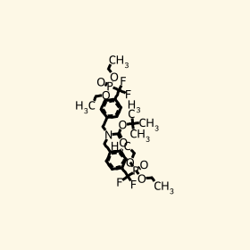 CCOP(=O)(OCC)C(F)(F)c1ccc(CN(Cc2ccc(C(F)(F)P(=O)(OCC)OCC)cc2)C(=O)OC(C)(C)C)cc1